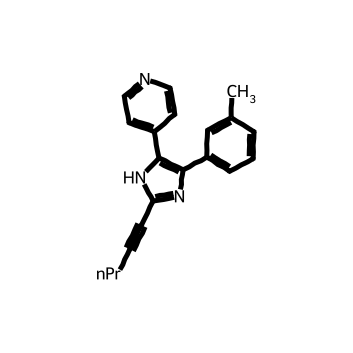 CCCC#Cc1nc(-c2cccc(C)c2)c(-c2ccncc2)[nH]1